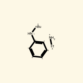 CCCCNc1ccccc1.CCN